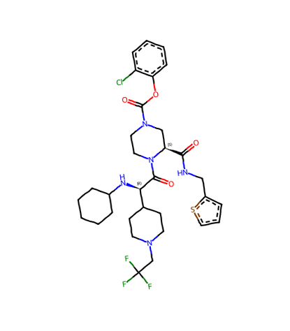 O=C(NCc1cccs1)[C@@H]1CN(C(=O)Oc2ccccc2Cl)CCN1C(=O)[C@H](NC1CCCCC1)C1CCN(CC(F)(F)F)CC1